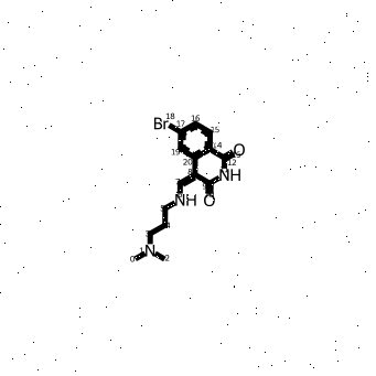 CN(C)CCCN/C=C1\C(=O)NC(=O)c2ccc(Br)cc21